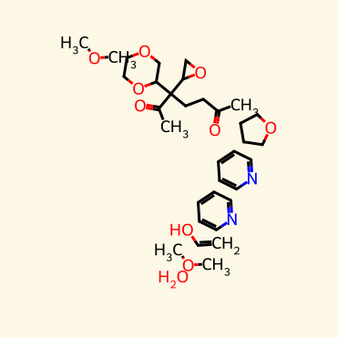 C1CCOC1.C=CO.CC(=O)CCC(C(C)=O)(C1COCCO1)C1CO1.COC.COC.O.c1ccncc1.c1ccncc1